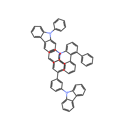 c1ccc(-c2ccccc2-c2c(-c3ccccc3)cccc2N(c2ccc(-c3cccc(-n4c5ccccc5c5ccccc54)c3)cc2)c2ccc3c4ccccc4n(-c4ccccc4)c3c2)cc1